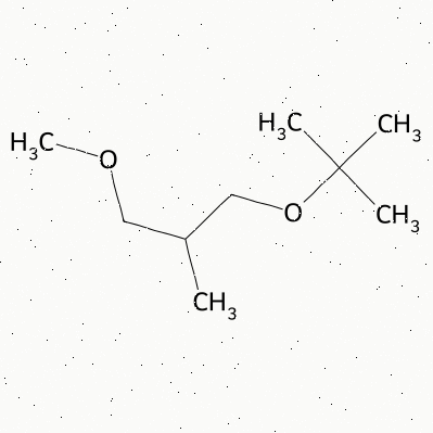 COCC(C)COC(C)(C)C